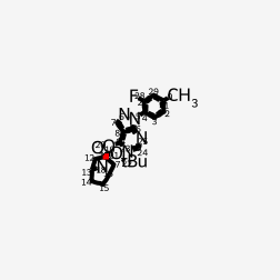 Cc1ccc(-n2ncc3c(OC4CC5CCC(C4)N5C(=O)OC(C)(C)C)ncnc32)c(F)c1